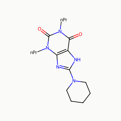 CCCn1c(=O)c2[nH]c(N3CCCCC3)nc2n(CCC)c1=O